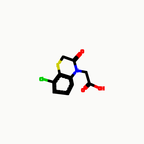 O=C(O)CN1C(=O)CSc2c(Cl)cccc21